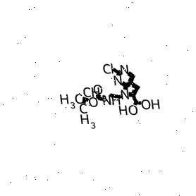 CC(C)(C)OC(=O)NCCn1c(C(O)O)cc2cnc(Cl)nc21